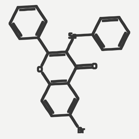 O=c1c([Se]c2ccccc2)c(-c2ccccc2)oc2ccc(Br)cc12